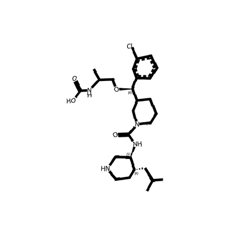 CC(C)C[C@@H]1CCNC[C@H]1NC(=O)N1CCCC([C@@H](OCC(C)NC(=O)O)c2cccc(Cl)c2)C1